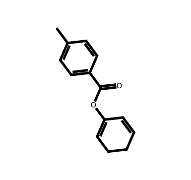 Cc1ccc(C(=O)OC2=CCCC=C2)cc1